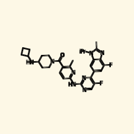 Cc1nc(Nc2ncc(F)c(-c3cc(F)c4nc(C)n(C(C)C)c4c3)n2)ccc1C(=O)N1CCC(NC2CCC2)CC1